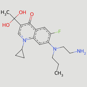 CCCN(CCN)c1cc2c(cc1F)c(=O)c(C(C)(O)O)cn2C1CC1